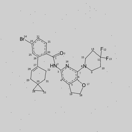 O=C(Nc1cc2c(c(N3CCC(F)(F)CC3)n1)OCC2)c1ccc(Br)cc1C1=CCC2(CC1)CC2